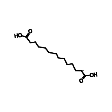 O=C(O)[CH]CCCCCCCCCCCC(=O)O